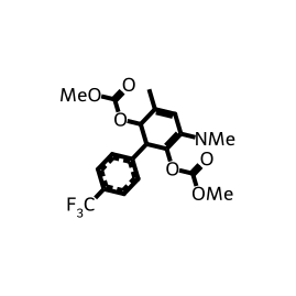 CNC1=C(OC(=O)OC)C(c2ccc(C(F)(F)F)cc2)C(OC(=O)OC)C(C)=C1